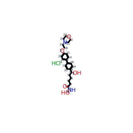 Cl.O=C(CCCC[C@@H](O)c1ccc(-c2ccc(OCCN3CCOCC3)cc2)cc1)NO